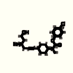 CCN(CC#CC1CCC(N(C)C(=O)Oc2ccc(Cl)cc2)CC1)CCO